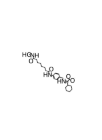 COC(=O)[C@@H](NCc1ccc(NC(=O)CCCCCCC(=O)NO)cc1)C1CCCCC1